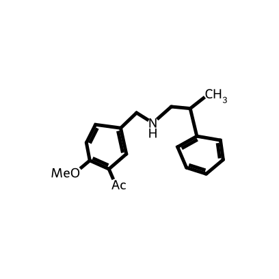 COc1ccc(CNCC(C)c2ccccc2)cc1C(C)=O